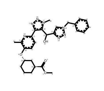 COC(=O)[C@H]1CCC[C@H](Oc2ccc(-c3nnn(C)c3C(O)c3cn(Cc4ccccc4)nn3)nc2C)C1